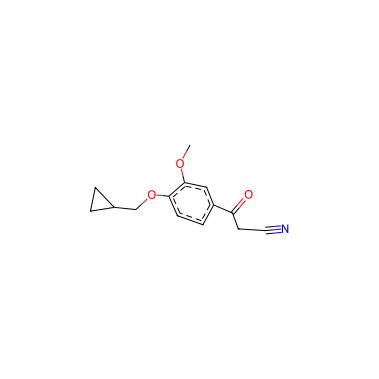 COc1cc(C(=O)CC#N)ccc1OCC1CC1